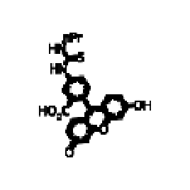 CCCNC(=S)Nc1ccc(-c2c3ccc(=O)cc-3oc3cc(O)ccc23)c(C(=O)O)c1